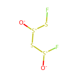 [O-][S+](F)S[S+]([O-])SF